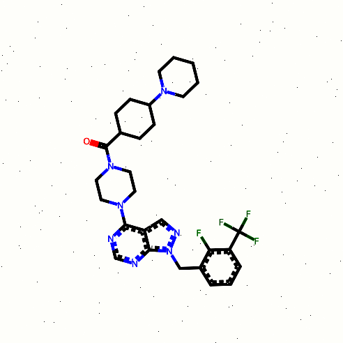 O=C(C1CCC(N2CCCCC2)CC1)N1CCN(c2ncnc3c2cnn3Cc2cccc(C(F)(F)F)c2F)CC1